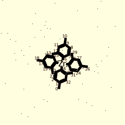 Cc1cc[c]([Zr]([c]2ccc(C)cc2C)([c]2ccc(C)cc2C)[c]2ccc(C)cc2C)c(C)c1